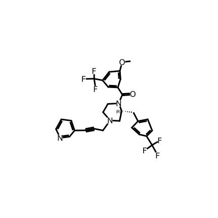 COc1cc(C(=O)N2CCN(CC#Cc3cccnc3)C[C@H]2Cc2ccc(C(F)(F)F)cc2)cc(C(F)(F)F)c1